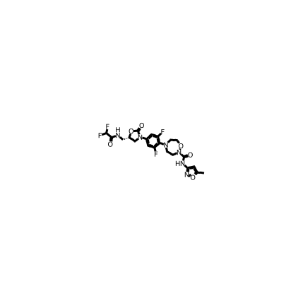 Cc1cc(NC(=O)N2CCN(c3c(F)cc(N4C[C@H](CNC(=O)C(F)F)OC4=O)cc3F)CCO2)no1